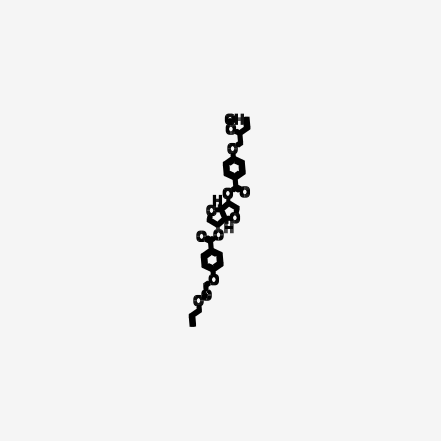 C=CCOOCOc1ccc(C(=O)O[C@@H]2CO[C@H]3[C@@H]2OC[C@@H]3OC(=O)c2ccc(OCC(C=C)OO)cc2)cc1